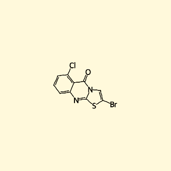 O=c1c2c(Cl)cccc2nc2sc(Br)cn12